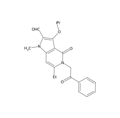 CCc1cc2c(c(OC(C)C)c(C=O)n2C)c(=O)n1CC(=O)c1ccccc1